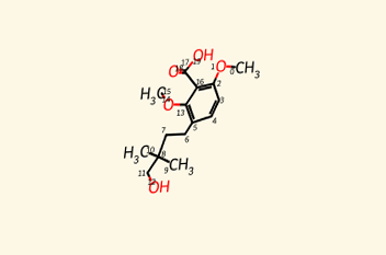 COc1ccc(CCC(C)(C)CO)c(OC)c1C(=O)O